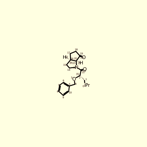 CC(C)C[C@H](OCc1ccccc1)C(=O)N1CC[C@H]2CCC(=O)[C@H]21